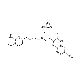 CS(=O)(=O)CCN(CCCCc1ccc2c(n1)NCCC2)CCC(Nc1ncc(C#N)cn1)C(=O)O